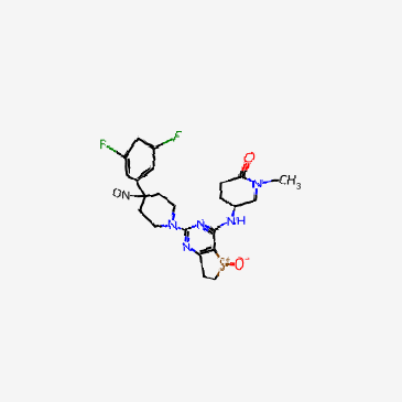 CN1C[C@@H](Nc2nc(N3CCC(N=O)(C4=CC(F)CC(F)=C4)CC3)nc3c2[S+]([O-])CC3)CCC1=O